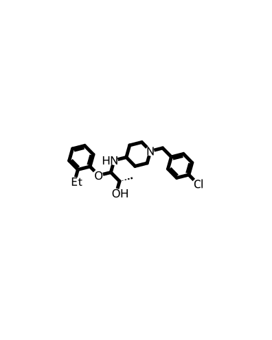 CCc1ccccc1OC(NC1CCN(Cc2ccc(Cl)cc2)CC1)[C@H](C)O